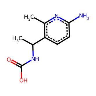 Cc1nc(N)ccc1C(C)NC(=O)O